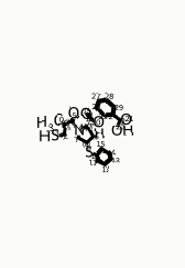 C[C@H](CS)C(=O)N1C[C@@H](Sc2ccccc2)C[C@H]1C(=O)O.O=C(O)c1ccccc1